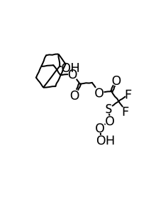 O=C(COC(=O)C(F)(F)SOOO)OC12CC3CC(C1)C(O)C(C3)C2